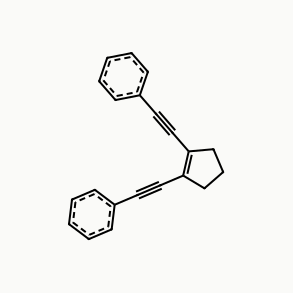 C(#Cc1ccccc1)C1=C(C#Cc2ccccc2)CCC1